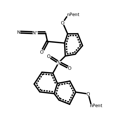 CCCCCOc1ccc2cccc(S(=O)(=O)c3cccc(OCCCCC)c3C(=O)C=[N+]=[N-])c2c1